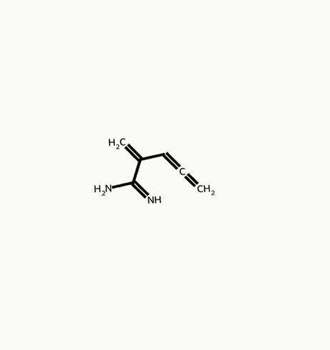 C=C=CC(=C)C(=N)N